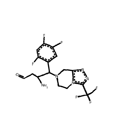 NC(CC=O)C(c1cc(F)c(F)cc1F)N1CCn2c(nnc2C(F)(F)F)C1